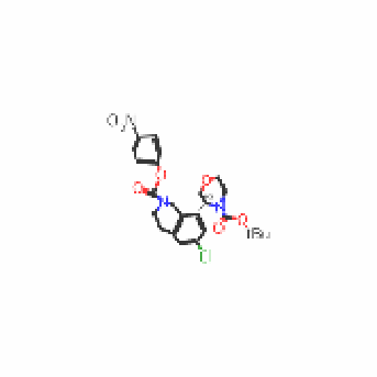 CC(C)(C)OC(=O)N1CCOC[C@H]1c1cc(Cl)cc2c1CN(C(=O)Oc1ccc([N+](=O)[O-])cc1)CC2